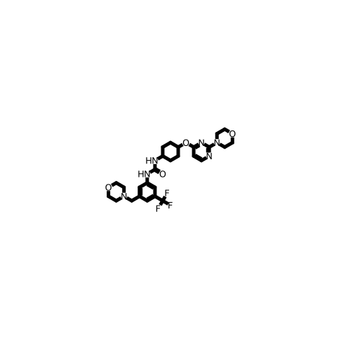 O=C(Nc1cc(CN2CCOCC2)cc(C(F)(F)F)c1)NC1CCC(Oc2ccnc(N3CCOCC3)n2)CC1